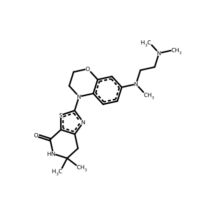 CN(C)CCN(C)c1ccc2c(c1)OCCN2c1nc2c(s1)C(=O)NC(C)(C)C2